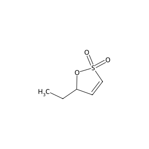 CCC1C=CS(=O)(=O)O1